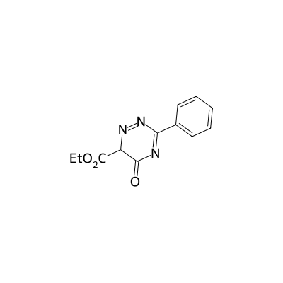 CCOC(=O)C1N=NC(c2ccccc2)=NC1=O